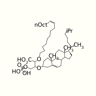 CCCCCCCC/C=C\CCCCCCCCOC(C(=O)O)C(COP(=O)(O)O)OC1CC[C@@]2(C)C(=CCC3C2CC[C@@]2(C)C3CC[C@@H]2[C@H](C)CCCC(C)C)C1